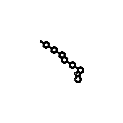 Fc1ccc(-c2ccc(-c3ccc4cc(-c5ccc(-c6cccc7c6oc6ncccc67)cc5)ccc4c3)cc2)cc1